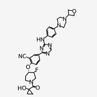 N#Cc1cc(-c2ncnc(Nc3ccc(N4CCN(C5COC5)CC4)cc3)n2)ccc1O[C@H]1CCN(C(=O)C2(O)CC2)C[C@@H]1F